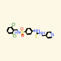 O=S(=O)(NCc1c(Cl)cccc1Cl)c1ccc(NC(=S)NCc2ccncc2)cc1